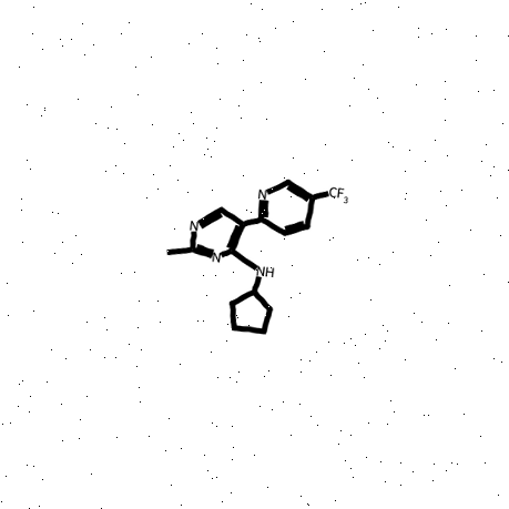 Cc1ncc(-c2ccc(C(F)(F)F)cn2)c(NC2CCCC2)n1